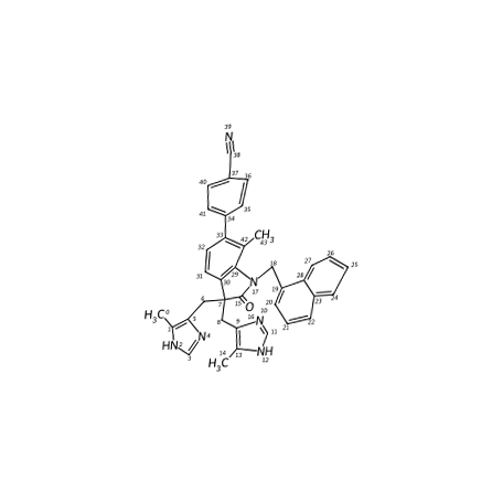 Cc1[nH]cnc1CC1(Cc2nc[nH]c2C)C(=O)N(Cc2cccc3ccccc23)c2c1ccc(-c1ccc(C#N)cc1)c2C